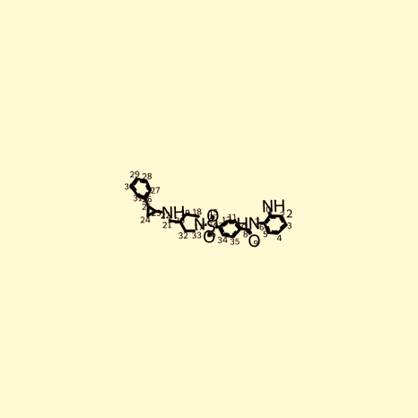 Nc1ccccc1NC(=O)c1ccc(S(=O)(=O)N2CCC(CNC3CC3c3ccccc3)CC2)cc1